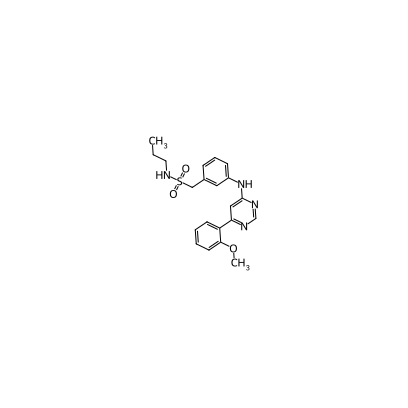 CCCNS(=O)(=O)Cc1cccc(Nc2cc(-c3ccccc3OC)ncn2)c1